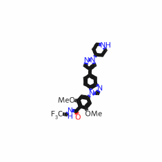 COc1cc(-n2cnc3cc(-c4cnn(C5CCNCC5)c4)ccc32)cc(OC)c1C(=O)NCC(F)(F)F